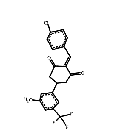 Cc1cc(C2CC(=O)C(=Cc3ccc(Cl)cc3)C(=O)C2)cc(C(F)(F)F)c1